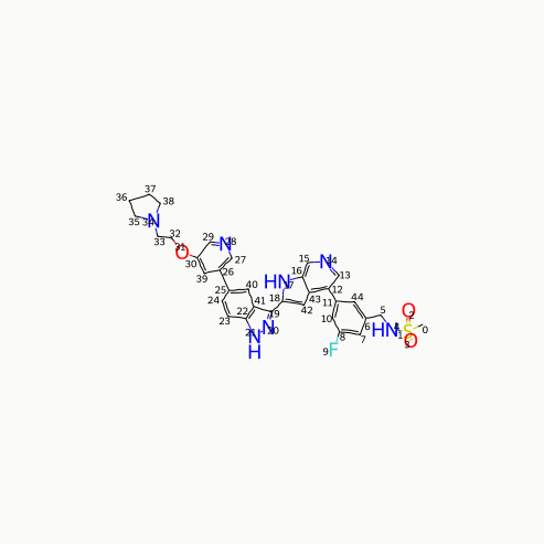 CS(=O)(=O)NCc1cc(F)cc(-c2cncc3[nH]c(-c4n[nH]c5ccc(-c6cncc(OCCN7CCCC7)c6)cc45)cc23)c1